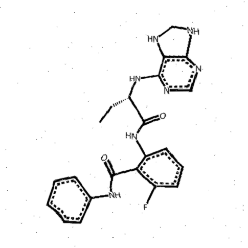 CC[C@H](Nc1ncnc2c1NCN2)C(=O)Nc1cccc(F)c1C(=O)Nc1ccccc1